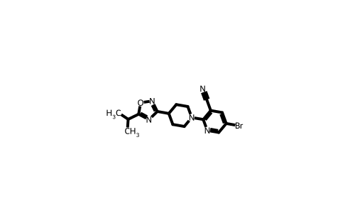 CC(C)c1nc(C2CCN(c3ncc(Br)cc3C#N)CC2)no1